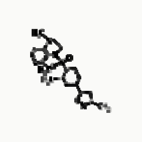 Cc1cc(-c2ccc(S(=O)(=O)N3CCN(C)c4cccc(C)c43)c(C)c2)on1